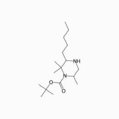 CCCCCC1NCC(C)N(C(=O)OC(C)(C)C)C1(C)C